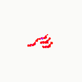 CC(C)OC(=O)N1Cc2cc(N3CCN(C4CCCC4)CC3)ccc2C(C)(C)C1.CC1(C)CN(C(=O)OC2CCCCC2)Cc2cc(N3CCN(C4CCCC4)CC3)ccc21.CC1(C)CN(C(=O)Oc2ccc(F)cc2)Cc2cc(N3CCN(C4CCCC4)CC3)ccc21.COc1ccc(OC(=O)N2Cc3cc(N4CCN(C5CCCC5)CC4)ccc3C(C)(C)C2)cc1